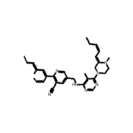 C\C=C/C(=C\C(C)=C\CC)c1ncc(CNc2ncnc(N3CCN(C)/C(=C\C=C/CC)C3)c2C)cc1C#N